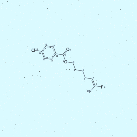 O=C(OCCCCC=C(F)F)c1ccc(Cl)cc1